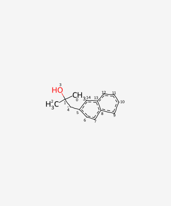 CC(C)(O)[CH]c1ccc2ccccc2c1